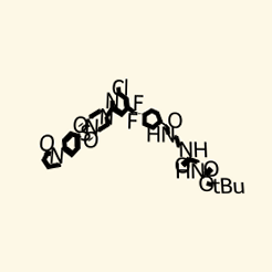 CC(C)(C)OC(=O)NCC(=O)NCCNC(=O)[C@H]1CC[C@H](C(F)(F)c2cc(Cl)nc(N3CCN(S(=O)(=O)c4ccc(N5CCCC5=O)cc4)CC3)c2)CC1